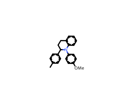 COc1ccc(N2c3ccccc3CCC2c2ccc(C)cc2)cc1